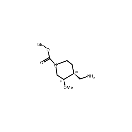 CO[C@H]1CN(C(=O)OC(C)(C)C)CC[C@H]1CN